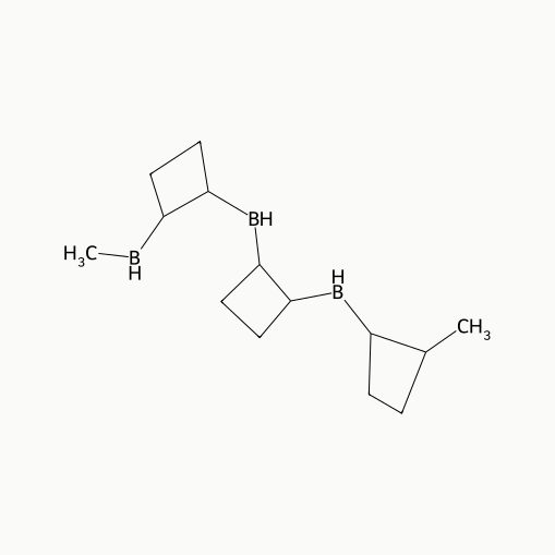 CBC1CCC1BC1CCC1BC1CCC1C